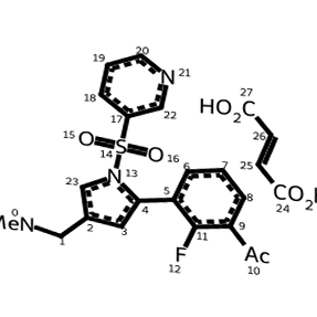 CNCc1cc(-c2cccc(C(C)=O)c2F)n(S(=O)(=O)c2cccnc2)c1.O=C(O)C=CC(=O)O